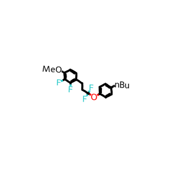 CCCCc1ccc(OC(F)(F)CCc2ccc(OC)c(F)c2F)cc1